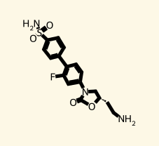 NCC[C@H]1CN(c2ccc(-c3ccc(S(N)(=O)=O)cc3)c(F)c2)C(=O)O1